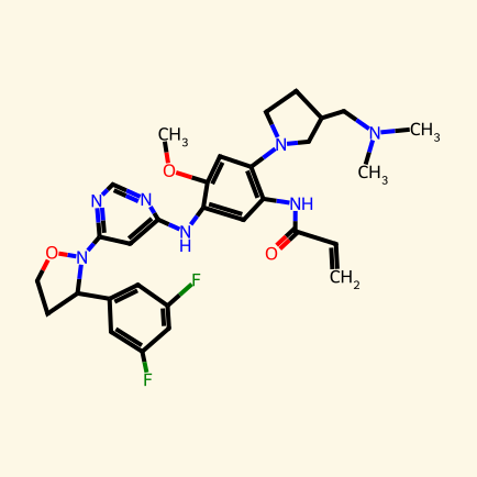 C=CC(=O)Nc1cc(Nc2cc(N3OCCC3c3cc(F)cc(F)c3)ncn2)c(OC)cc1N1CCC(CN(C)C)C1